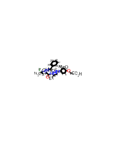 CC[C@H](CNc1ccc(OCC(=O)O)cc1OC)NC(=O)[C@H](CC(C)(C)F)N[C@@H](c1ccccc1)C(F)(F)F